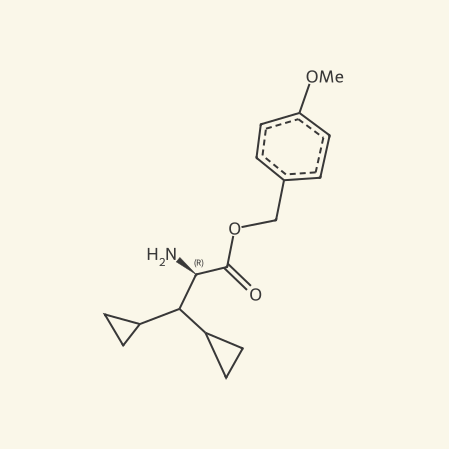 COc1ccc(COC(=O)[C@H](N)C(C2CC2)C2CC2)cc1